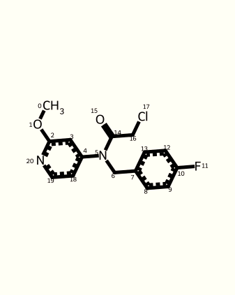 COc1cc(N(Cc2ccc(F)cc2)C(=O)CCl)ccn1